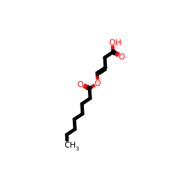 CCCCCCCC(=O)OC=CCC(=O)O